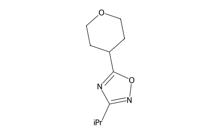 CC(C)c1noc(C2CCOCC2)n1